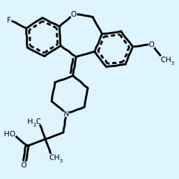 COc1ccc2c(c1)COc1cc(F)ccc1C2=C1CCN(CC(C)(C)C(=O)O)CC1